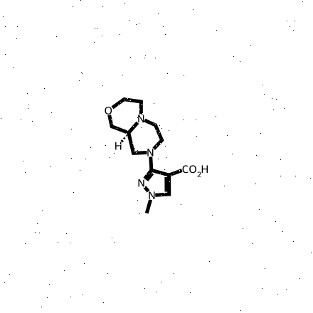 Cn1cc(C(=O)O)c(N2CCN3CCOC[C@@H]3C2)n1